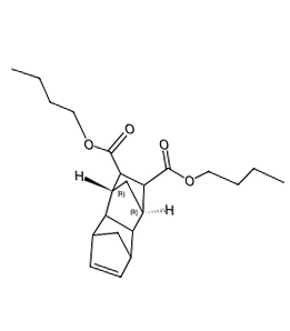 CCCCOC(=O)C1C(C(=O)OCCCC)[C@@H]2C[C@@H]1C1C3C=CC(C3)C12